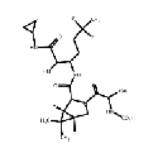 CC(F)(F)CCC(NC(=O)[C@@H]1[C@@H]2[C@H](CN1C(=O)C(NC(=O)O)C(C)(C)C)C2(C)C)C(O)C(=O)NC1CC1